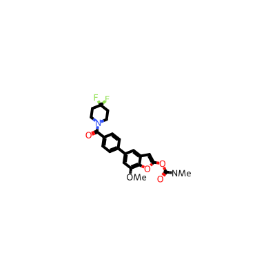 CNC(=O)Oc1cc2cc(-c3ccc(C(=O)N4CCC(F)(F)CC4)cc3)cc(OC)c2o1